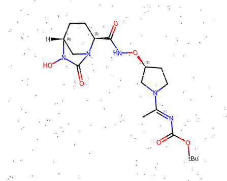 C/C(=N\C(=O)OC(C)(C)C)N1CC[C@H](ONC(=O)[C@@H]2CC[C@@H]3CN2C(=O)N3O)C1